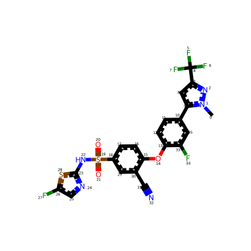 Cn1nc(C(F)(F)F)cc1-c1ccc(Oc2ccc(S(=O)(=O)Nc3ncc(F)s3)cc2C#N)c(F)c1